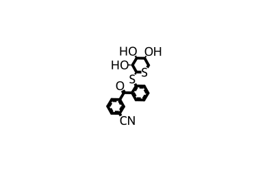 N#Cc1cccc(C(=O)c2ccccc2S[C@@H]2SC[C@@H](O)[C@H](O)[C@H]2O)c1